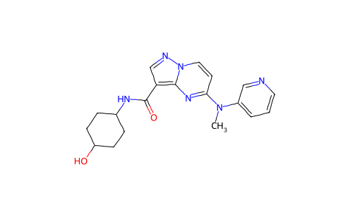 CN(c1cccnc1)c1ccn2ncc(C(=O)NC3CCC(O)CC3)c2n1